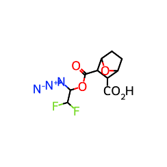 [N-]=[N+]=NC(OC(=O)C1C2CCC(O2)C1C(=O)O)C(F)F